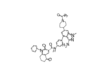 CC(C)C(=O)N1CCC(c2cc(-c3ccc(NC(=O)c4cc5c(n(-c6ccccc6)c4=O)CCCC5=O)cc3)c3c(N)nn(C)c3c2)CC1